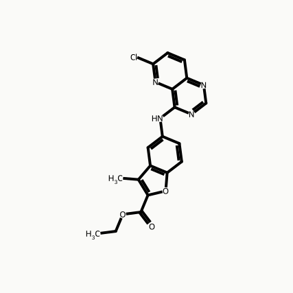 CCOC(=O)c1oc2ccc(Nc3ncnc4ccc(Cl)nc34)cc2c1C